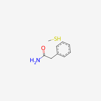 CS.NC(=O)Cc1ccccc1